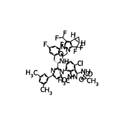 Cc1cc(C)cc(-c2cc(=O)n(-c3ccc(Cl)c4c(NS(C)(=O)=O)nn(C)c34)c([C@H](Cc3cc(F)cc(F)c3)NC(=O)Cn3nc(C(F)F)c4c3C(F)(F)[C@@H]3C[C@H]43)n2)c1